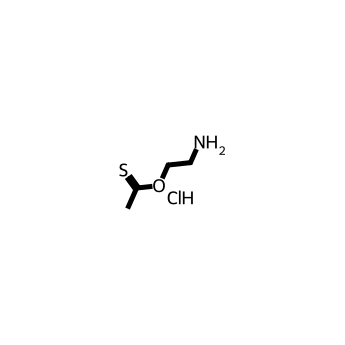 CC(=S)OCCN.Cl